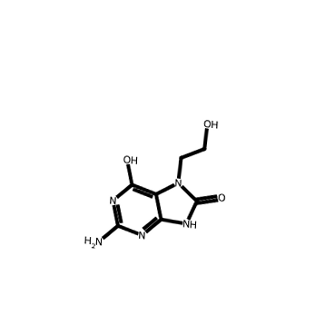 Nc1nc(O)c2c(n1)[nH]c(=O)n2CCO